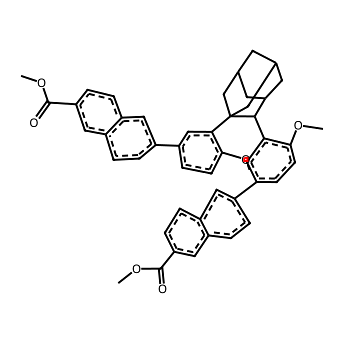 COC(=O)c1ccc2cc(-c3ccc(OC)c(C4C5CC6CC(C5)CC4(c4cc(-c5ccc7cc(C(=O)OC)ccc7c5)ccc4OC)C6)c3)ccc2c1